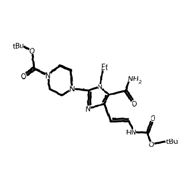 CCn1c(N2CCN(C(=O)OC(C)(C)C)CC2)nc(/C=C/NC(=O)OC(C)(C)C)c1C(N)=O